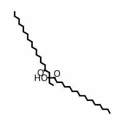 CCCCCCCCCCCCCCCC(=O)CC(O)(CC)C(=O)CCCCCCCCCCCCCCC